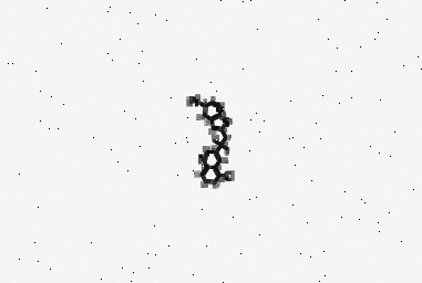 CC(C)c1cnc2sc(CC(C)(C)c3cnc4cccc(Cl)c4c3)cc2c1